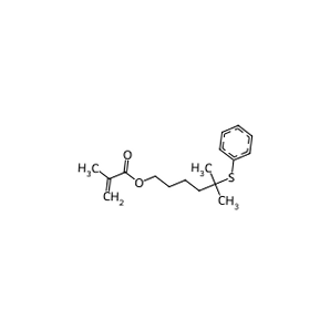 C=C(C)C(=O)OCCCCC(C)(C)Sc1ccccc1